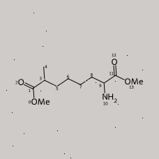 COC(=O)C(C)CCCCC(N)C(=O)OC